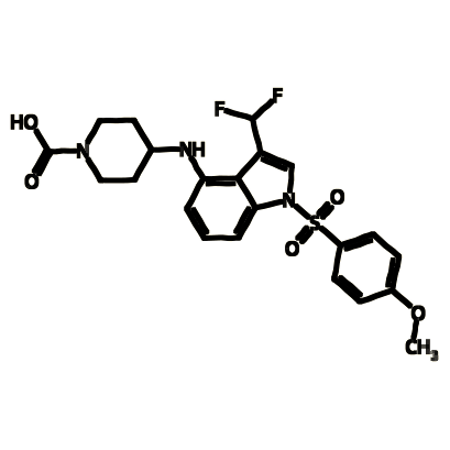 COc1ccc(S(=O)(=O)n2cc(C(F)F)c3c(NC4CCN(C(=O)O)CC4)cccc32)cc1